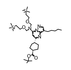 CCCCCc1cnn2c(N(COCC[Si](C)(C)C)COCC[Si](C)(C)C)cc([C@H]3CC[C@H](C(=O)OC(C)(C)C)CC3)nc12